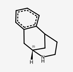 c1ccc2c(c1)C[C@@H]1CC2CCN1